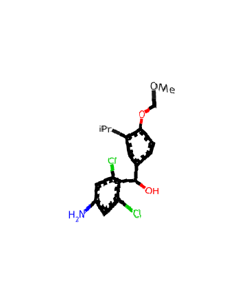 COCOc1ccc(C(O)c2c(Cl)cc(N)cc2Cl)cc1C(C)C